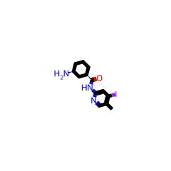 Cc1cnc(NC(=O)[C@H]2CCC[C@@H](N)C2)cc1I